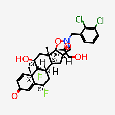 C[C@]12C=CC(=O)C=C1[C@@H](F)C[C@H]1[C@@H]3C[C@H]4CN(Cc5cccc(Cl)c5Cl)O[C@@]4(C(=O)CO)[C@@]3(C)C[C@H](O)[C@@]12F